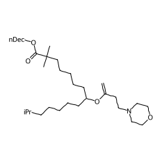 C=C(CCN1CCOCC1)OC(CCCCCC(C)C)CCCCCC(C)(C)C(=O)OCCCCCCCCCC